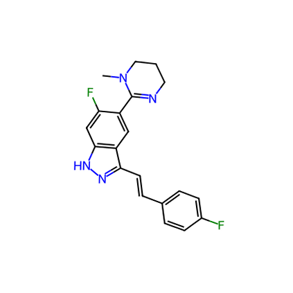 CN1CCCN=C1c1cc2c(/C=C/c3ccc(F)cc3)n[nH]c2cc1F